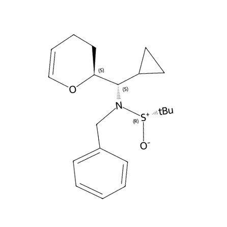 CC(C)(C)[S@+]([O-])N(Cc1ccccc1)[C@@H](C1CC1)[C@@H]1CCC=CO1